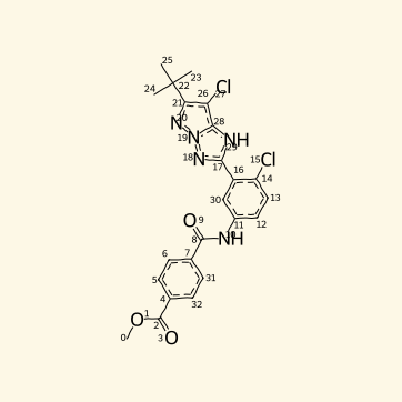 COC(=O)c1ccc(C(=O)Nc2ccc(Cl)c(-c3nn4nc(C(C)(C)C)c(Cl)c4[nH]3)c2)cc1